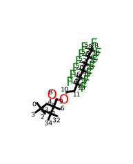 CC(C)(C)CC(C)(C(=O)OCCC(F)(F)C(F)(F)C(F)(F)C(F)(F)C(F)(F)C(F)(F)F)C(C)(C)C